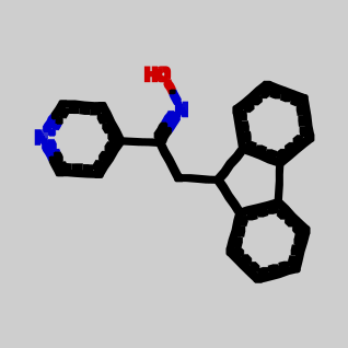 ON=C(CC1c2ccccc2-c2ccccc21)c1ccncc1